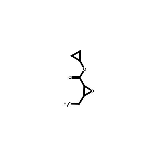 CCC1OC1C(=O)OC1CC1